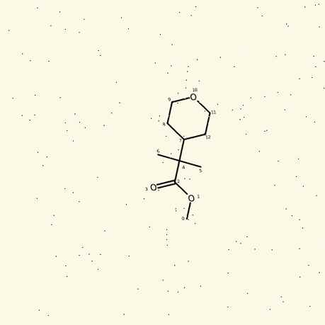 COC(=O)C(C)(C)C1CCOCC1